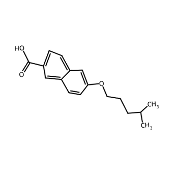 CC(C)CCCOc1ccc2cc(C(=O)O)ccc2c1